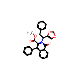 COC(=O)c1c(-c2ccccc2)c2ccccc2c(=O)n1C(Cc1ccccc1)C1=COCO1